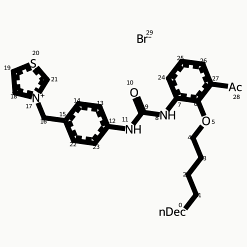 CCCCCCCCCCCCCCOc1c(NC(=O)Nc2ccc(C[n+]3ccsc3)cc2)cccc1C(C)=O.[Br-]